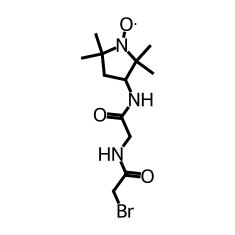 CC1(C)CC(NC(=O)CNC(=O)CBr)C(C)(C)N1[O]